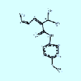 C=C(Nc1ccc(OC(F)(F)F)nc1)/C(=C\C=C/C)C(CCC)CCC